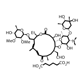 CC[C@H]1OC(=O)C[C@@H](O)[C@H](C)[C@@H](O[C@@H]2O[C@H](C)[C@@H](O[C@H]3C[C@@](C)(O)[C@@H](O)[C@H](C)O3)[C@H](N(C)C)[C@H]2O)[C@@H](CC=O)C[C@@H](C)C(=O)/C=C/C(C)=C/C1CO[C@@H]1O[C@H](C)[C@@H](O)[C@@H](OC)[C@H]1OC.O=C(O)CCCCC(=O)O